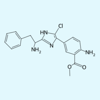 COC(=O)c1cc(-c2nc(C(N)Cc3ccccc3)[nH]c2Cl)ccc1N